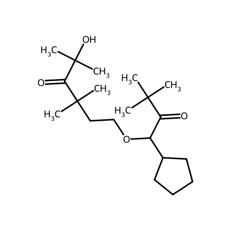 CC(C)(C)C(=O)C(OCCC(C)(C)C(=O)C(C)(C)O)C1CCCC1